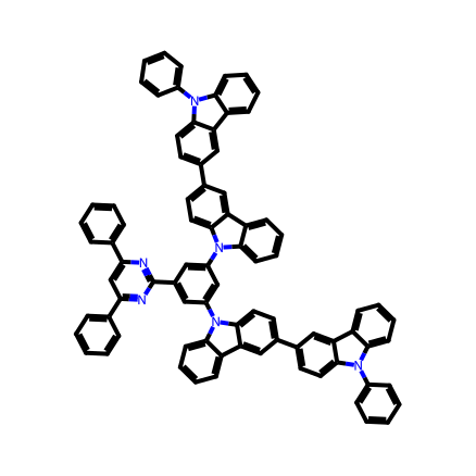 c1ccc(-c2cc(-c3ccccc3)nc(-c3cc(-n4c5ccccc5c5cc(-c6ccc7c(c6)c6ccccc6n7-c6ccccc6)ccc54)cc(-n4c5ccccc5c5cc(-c6ccc7c(c6)c6ccccc6n7-c6ccccc6)ccc54)c3)n2)cc1